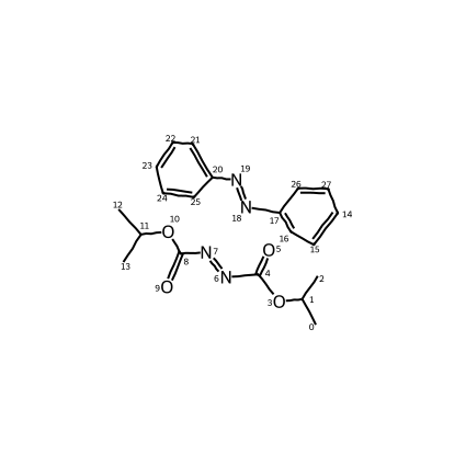 CC(C)OC(=O)N=NC(=O)OC(C)C.c1ccc(N=Nc2ccccc2)cc1